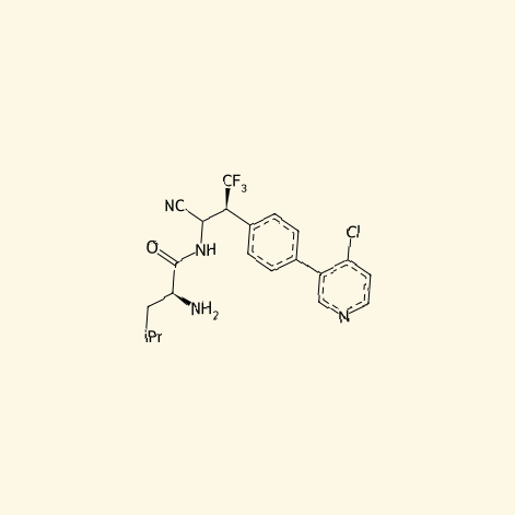 CC(C)C[C@H](N)C(=O)NC(C#N)[C@H](c1ccc(-c2cnccc2Cl)cc1)C(F)(F)F